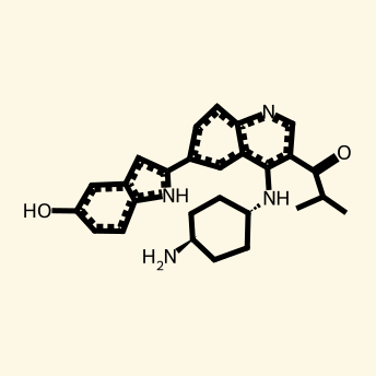 CC(C)C(=O)c1cnc2ccc(-c3cc4cc(O)ccc4[nH]3)cc2c1N[C@H]1CC[C@H](N)CC1